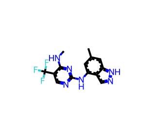 CNc1nc(Nc2cc(C)cc3[nH]ncc23)ncc1C(F)(F)F